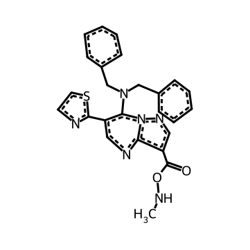 CNOC(=O)c1cnn2c(N(Cc3ccccc3)Cc3ccccc3)c(-c3nccs3)cnc12